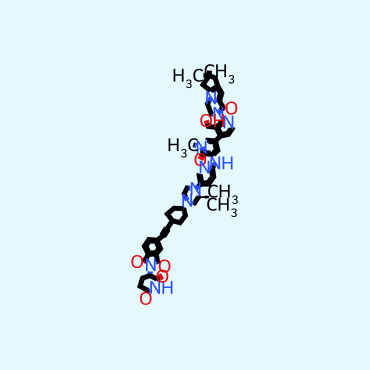 CC(C)[C@H]1CN(C2CCC(C#Cc3ccc4c(c3)C(=O)N(C3CCC(=O)NC3=O)C4=O)CC2)CCN1c1ccc(Nc2cc(-c3ccnc(N4CCn5c(cc6c5CC(C)(C)C6)C4=O)c3CO)cn(C)c2=O)nc1